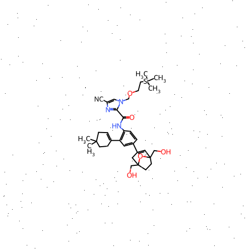 CC1(C)CC=C(c2cc(C3=CC4(CO)CCC(CO)(C3)O4)ccc2NC(=O)c2nc(C#N)cn2COCC[Si](C)(C)C)CC1